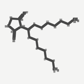 CCCCCCCC(CCCCCCC)N1C(=O)CSC1=O